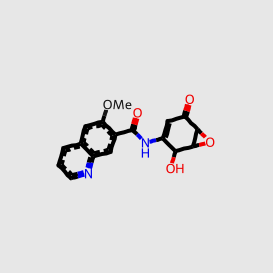 COc1cc2cccnc2cc1C(=O)NC1=CC(=O)C2OC2C1O